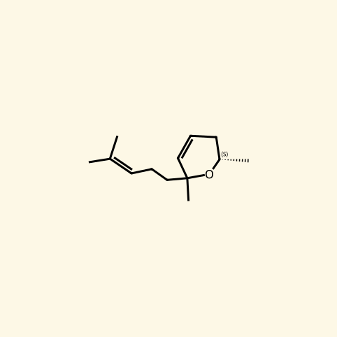 CC(C)=CCCC1(C)C=CC[C@H](C)O1